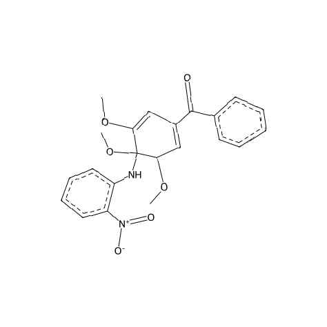 COC1=CC(C(=O)c2ccccc2)=CC(OC)C1(Nc1ccccc1[N+](=O)[O-])OC